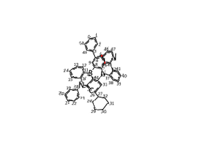 c1ccc(-c2ccc3c(c2)B2c4ccccc4N(c4ccccc4)c4cc(C5CCCCC5)cc(c42)N3c2ccccc2-c2ccccn2)cc1